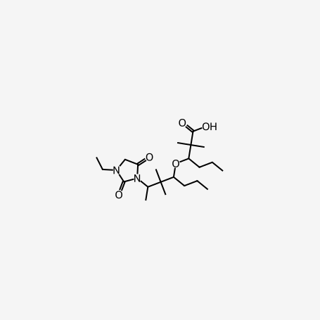 CCCC(OC(CCC)C(C)(C)C(C)N1C(=O)CN(CC)C1=O)C(C)(C)C(=O)O